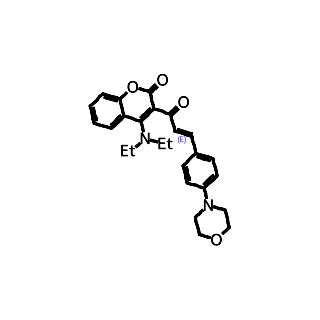 CCN(CC)c1c(C(=O)/C=C/c2ccc(N3CCOCC3)cc2)c(=O)oc2ccccc12